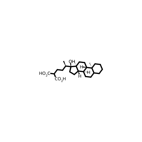 C[C@H](CCC(C(=O)O)C(=O)O)[C@@]1(O)CC[C@H]2[C@@H]3CCC4CCCC[C@]4(C)[C@H]3CC[C@@]21C